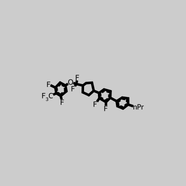 CCCc1ccc(-c2ccc(C3CCC(C(F)(F)Oc4cc(F)c(C(F)(F)F)c(F)c4)CC3)c(F)c2F)cc1